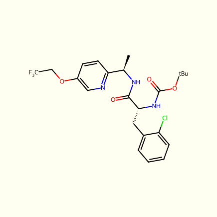 C[C@@H](NC(=O)[C@@H](Cc1ccccc1Cl)NC(=O)OC(C)(C)C)c1ccc(OCC(F)(F)F)cn1